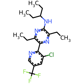 CCc1nc(-c2ncc(C(F)(F)F)cc2Cl)c(CC)nc1NC(CC)CC